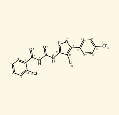 O=C(NC(=O)c1ccccc1Cl)Nc1noc(-c2ccc(C(F)(F)F)cc2)c1Cl